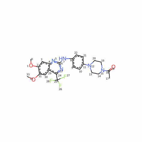 COc1cc2nc(Nc3ccc(N4CCN(C(C)=O)CC4)cc3)nc(C(F)(F)F)c2cc1OC